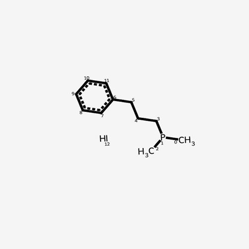 CP(C)CCCc1ccccc1.I